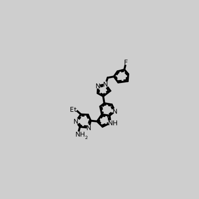 CCc1cc(-c2c[nH]c3ncc(-c4cnn(Cc5cccc(F)c5)c4)cc23)nc(N)n1